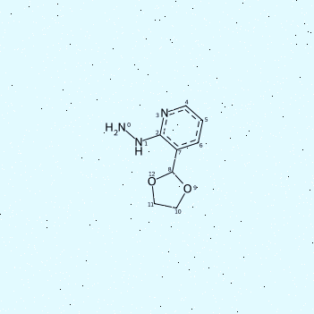 NNc1ncccc1C1OCCO1